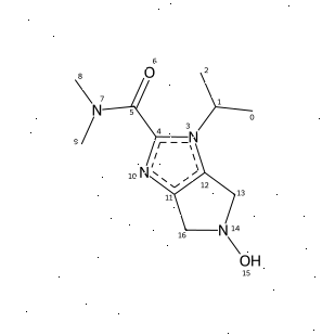 CC(C)n1c(C(=O)N(C)C)nc2c1CN(O)C2